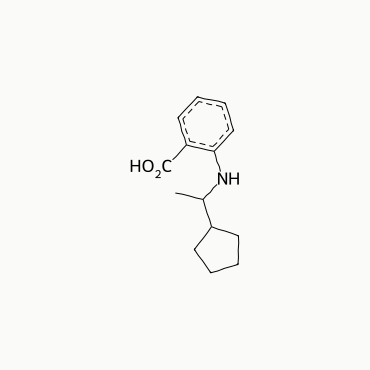 CC(Nc1ccccc1C(=O)O)C1CCCC1